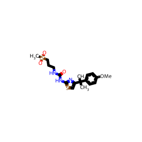 COc1ccc(C(C)(C)c2csc(NC(=O)NCCCS(C)(=O)=O)n2)cc1